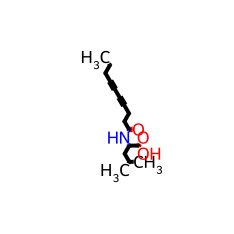 CCCC#CC#CCCC(=O)NC(CC(C)C)C(=O)O